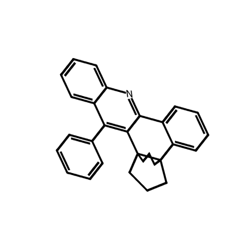 c1ccc(-c2c3c(nc4ccccc24)-c2ccccc2C24CCCC32CCC4)cc1